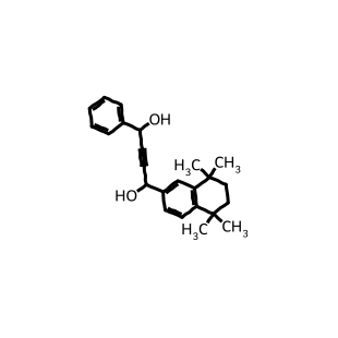 CC1(C)CCC(C)(C)c2cc(C(O)C#CC(O)c3ccccc3)ccc21